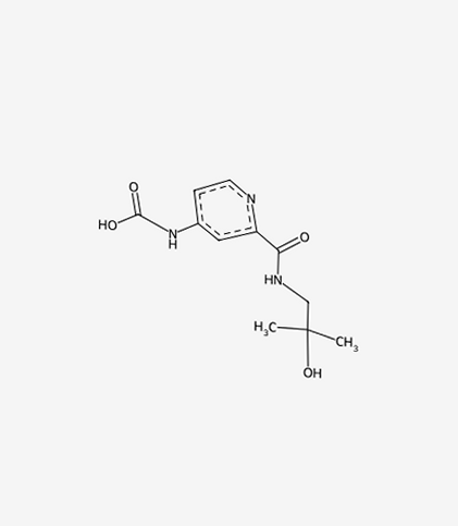 CC(C)(O)CNC(=O)c1cc(NC(=O)O)ccn1